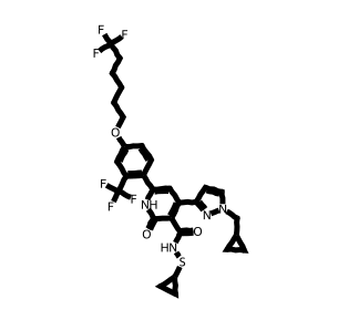 O=C(NSC1CC1)c1c(-c2ccn(CC3CC3)n2)cc(-c2ccc(OCCCCCC(F)(F)F)cc2C(F)(F)F)[nH]c1=O